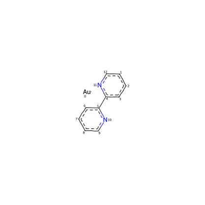 [Au].c1ccc(-c2ccccn2)nc1